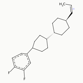 C/C=C\[C@H]1CC[C@H](C2CCC(c3ccc(F)c(F)c3)CC2)CC1